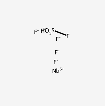 O=S(=O)(O)F.[F-].[F-].[F-].[F-].[F-].[Nb+5]